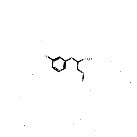 CCOC(=O)C(CSF)Sc1cccc(Br)c1